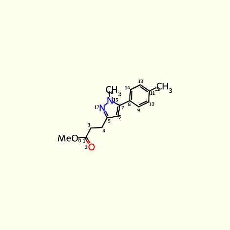 COC(=O)CCc1cc(-c2ccc(C)cc2)n(C)n1